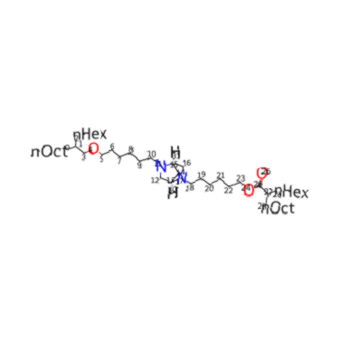 CCCCCCCCC(CCCCCC)COCCCCCCN1C[C@H]2C[C@@H]1CN2CCCCCCOC(=O)C(CCCCCC)CCCCCCCC